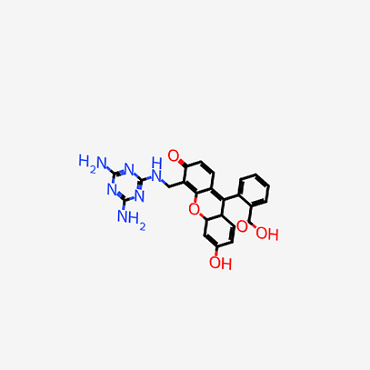 Nc1nc(N)nc(NCC2=C3OC4C=C(O)C=CC4C(c4ccccc4C(=O)O)=C3C=CC2=O)n1